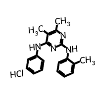 Cc1ccccc1Nc1nc(C)c(C)c(Nc2ccccc2)n1.Cl